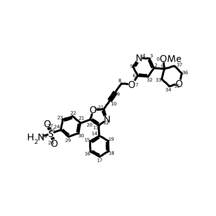 COC1(c2cncc(OCC#Cc3nc(-c4ccccc4)c(-c4ccc(S(N)(=O)=O)cc4)o3)c2)CCOCC1